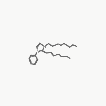 CCCCCCCCN1C=CN(c2ccccc2)C1CCCCCCC